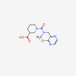 CN(Cc1nccnc1Cl)C(=O)N1CCCC(C(=O)O)C1